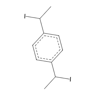 CC(I)c1ccc(C(C)I)cc1